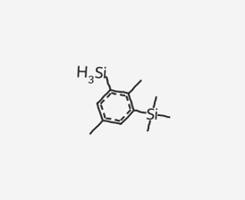 Cc1cc([SiH3])c(C)c([Si](C)(C)C)c1